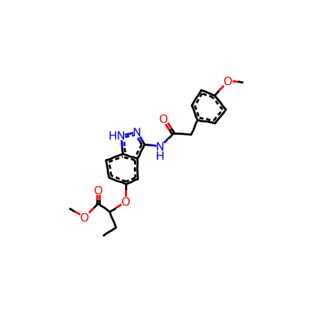 CCC(Oc1ccc2[nH]nc(NC(=O)Cc3ccc(OC)cc3)c2c1)C(=O)OC